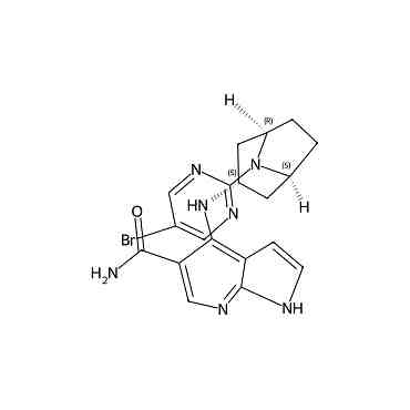 NC(=O)c1cnc2[nH]ccc2c1N[C@@H]1C[C@H]2CC[C@@H](C1)N2c1ncc(Br)cn1